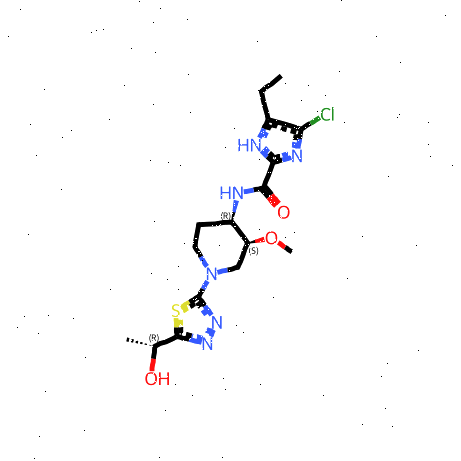 CCc1[nH]c(C(=O)N[C@@H]2CCN(c3nnc([C@@H](C)O)s3)C[C@@H]2OC)nc1Cl